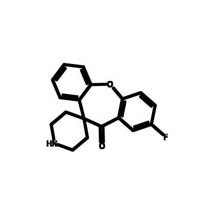 O=C1c2cc(F)ccc2Oc2ccccc2C12CCNCC2